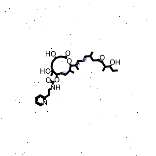 CCC(O)C(C)C1OC1CC(C)/C=C/C=C(\C)C1OC(=O)CC(O)CCC(C)(O)C(OC(=O)NCCc2ccccn2)/C=C/C1C